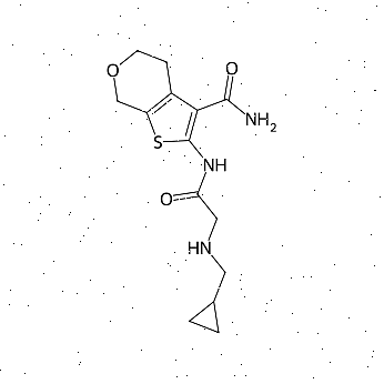 NC(=O)c1c(NC(=O)CNCC2CC2)sc2c1CCOC2